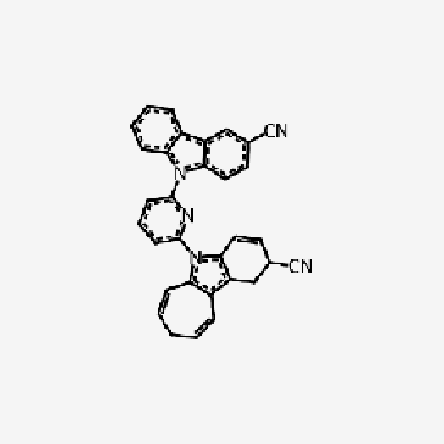 N#Cc1ccc2c(c1)c1ccccc1n2-c1cccc(-n2c3c(c4c2C=CC(C#N)C4)C=CCC=C3)n1